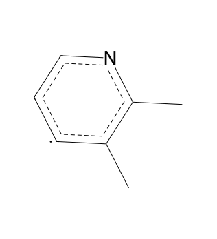 Cc1[c]ccnc1C